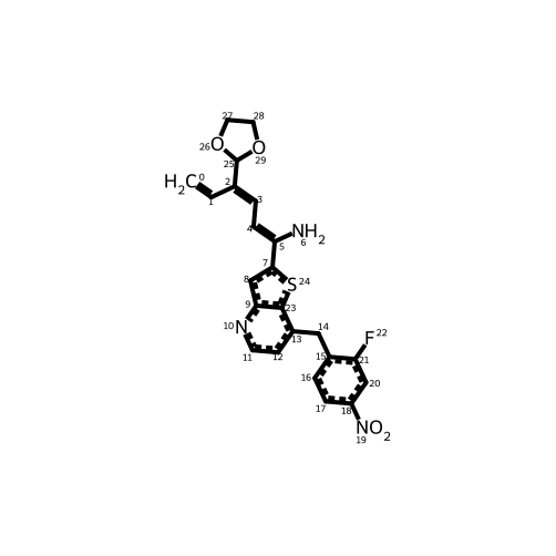 C=C/C(=C\C=C(/N)c1cc2nccc(Cc3ccc([N+](=O)[O-])cc3F)c2s1)C1OCCO1